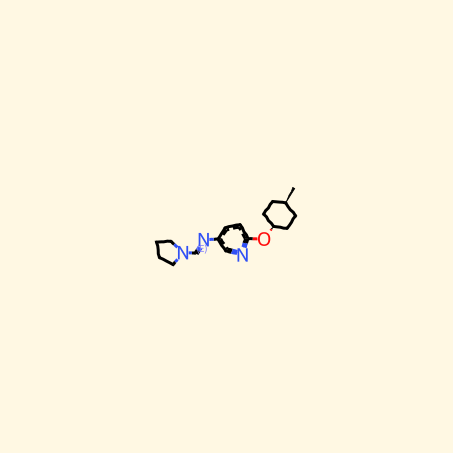 C[C@H]1CC[C@H](Oc2ccc(/N=C/N3CCCC3)cn2)CC1